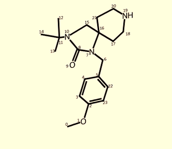 COc1ccc(CN2C(=O)N(C(C)(C)C)CC23CCNCC3)cc1